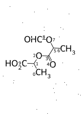 CC(OC(=O)C(C)OC=O)C(=O)O